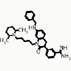 CC1CCCC(C)N1CCCCCN1C(=O)C(c2cccc(C(=N)N)c2)Cc2ccc(NCc3ccccc3)cc21